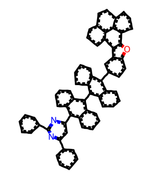 c1ccc(-c2cc(-c3c4ccccc4c(-c4c5ccccc5c(-c5ccc6oc7c8cccc9ccc%10cccc(c7c6c5)c%10c98)c5ccccc45)c4ccccc34)nc(-c3ccccc3)n2)cc1